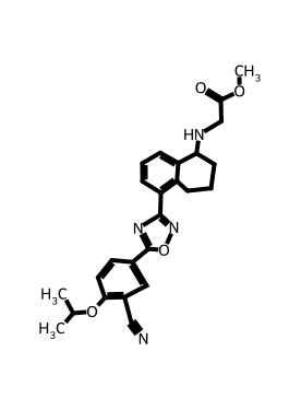 COC(=O)CNC1CCCc2c(-c3noc(-c4ccc(OC(C)C)c(C#N)c4)n3)cccc21